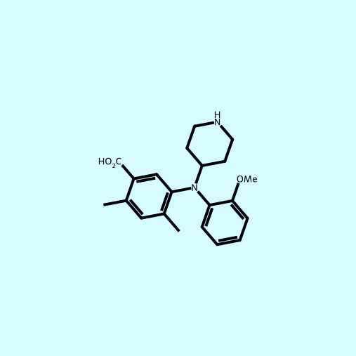 COc1ccccc1N(c1cc(C(=O)O)c(C)cc1C)C1CCNCC1